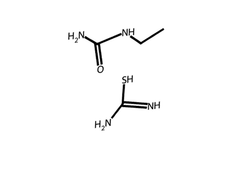 CCNC(N)=O.N=C(N)S